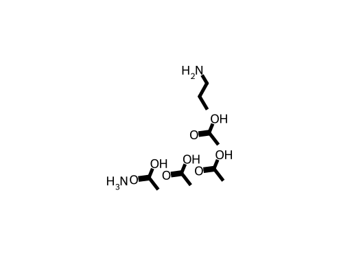 CC(=O)O.CC(=O)O.CC(=O)O.CC(=O)O.CCCN.N